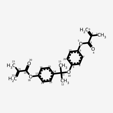 C=C(C)C(=O)Oc1ccc(OC(C)(C)c2ccc(OC(=O)C(=C)C)cc2)cc1